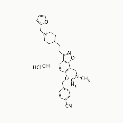 CN(C)Cc1c(OCc2ccc(C#N)cc2)ccc2c(CCC3CCN(Cc4ccco4)CC3)noc12.Cl.Cl